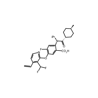 C=Cc1ccnc(Oc2cc(C(=O)O)c(N(C(=O)[C@H]3CC[C@H](C)CC3)C(C)C)cc2F)c1C(F)F